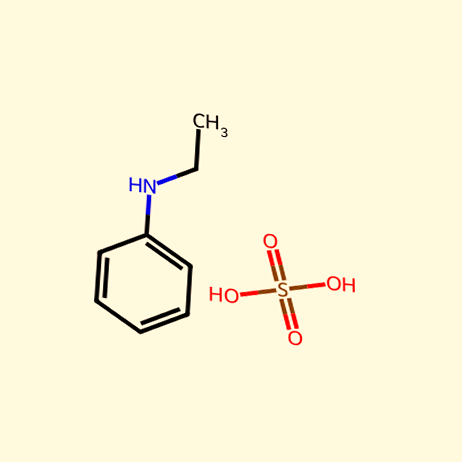 CCNc1ccccc1.O=S(=O)(O)O